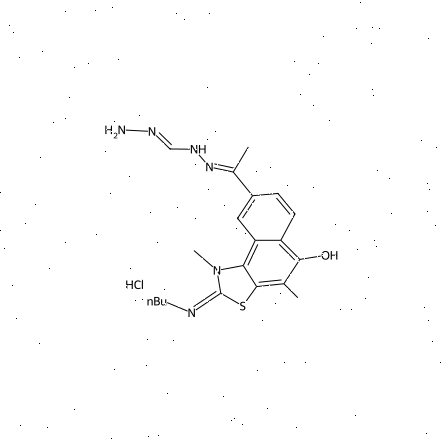 CCCCN=c1sc2c(C)c(O)c3ccc(C(C)=NNC=NN)cc3c2n1C.Cl